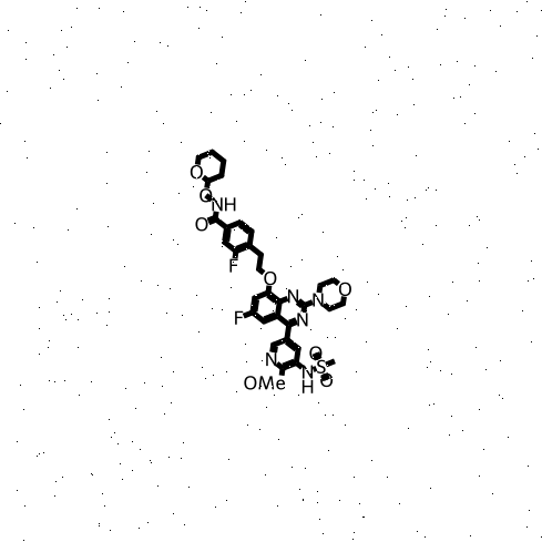 COc1ncc(-c2nc(N3CCOCC3)nc3c(OCCc4ccc(C(=O)NOC5CCCCO5)cc4F)cc(F)cc23)cc1NS(C)(=O)=O